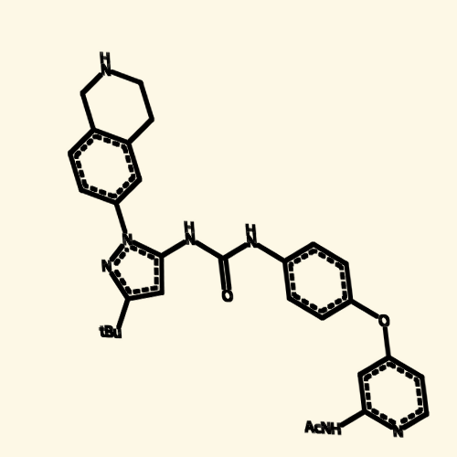 CC(=O)Nc1cc(Oc2ccc(NC(=O)Nc3cc(C(C)(C)C)nn3-c3ccc4c(c3)CCNC4)cc2)ccn1